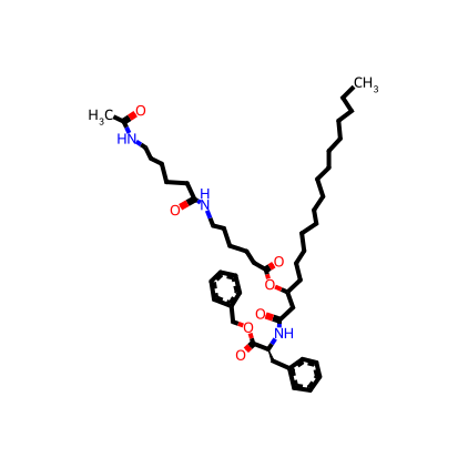 CCCCCCCCCCCCCCCC(CC(=O)N[C@@H](Cc1ccccc1)C(=O)OCc1ccccc1)OC(=O)CCCCCNC(=O)CCCCCNC(C)=O